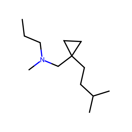 CCCN(C)CC1(CCC(C)C)CC1